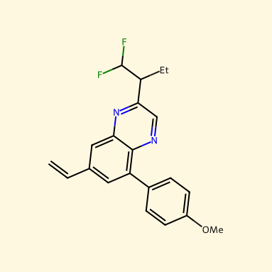 C=Cc1cc(-c2ccc(OC)cc2)c2ncc(C(CC)C(F)F)nc2c1